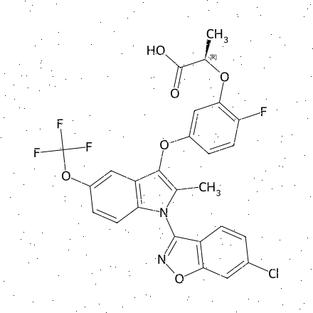 Cc1c(Oc2ccc(F)c(O[C@H](C)C(=O)O)c2)c2cc(OC(F)(F)F)ccc2n1-c1noc2cc(Cl)ccc12